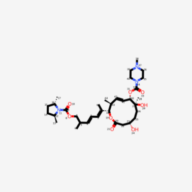 C/C(=C\C=C\C(C)COC(=O)N1[C@@H](C)CC[C@@H]1C)[C@H]1OC(=O)C[C@@H](O)CC[C@](C)(O)[C@@H](OC(=O)N2CCN(C)CC2)/C=C/[C@@H]1C